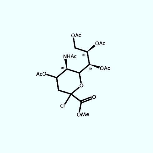 COC(=O)C1(Cl)CC(OC(C)=O)[C@@H](NC(C)=O)C([C@H](OC(C)=O)[C@@H](COC(C)=O)OC(C)=O)O1